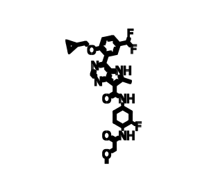 COCC(=O)N[C@@H]1CC[C@@H](NC(=O)c2c(C)[nH]c3c(-c4cc(C(F)F)ccc4OCC4CC4)ncnc23)C[C@H]1F